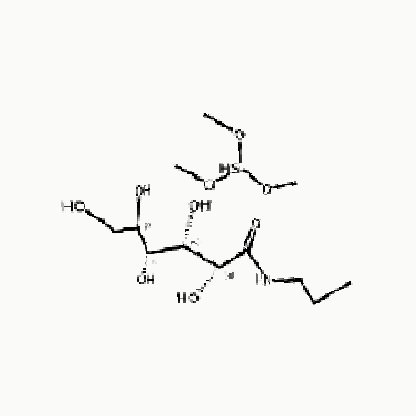 CCCNC(=O)[C@H](O)[C@@H](O)[C@H](O)[C@H](O)CO.CO[SiH](OC)OC